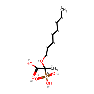 CCCCCCCCOC(C)(C(=O)O)S(=O)(=O)O